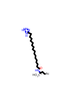 CC(=O)CC[C@H](NC(=O)CCCCCCCCCCCCCCCCC1=NNNN1)C(=O)O